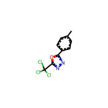 Cc1ccc(-c2nnc(C(Cl)(Cl)Cl)o2)cc1